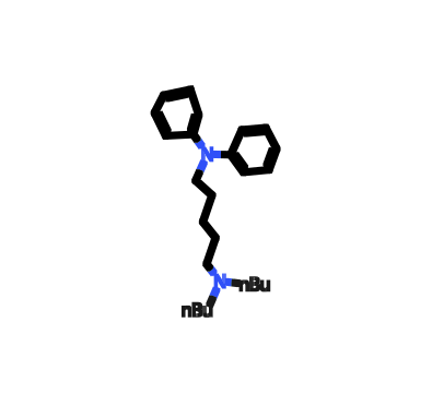 CCCCN(CCCC)CCCCCN(c1ccccc1)c1ccccc1